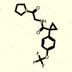 O=C(CNC(=O)C1(c2ccc(OC(F)(F)F)cc2)CC1)N1CCCC1